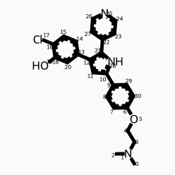 CN(C)CCOc1ccc(-c2cc(-c3ccc(Cl)c(O)c3)c(-c3ccncc3)[nH]2)cc1